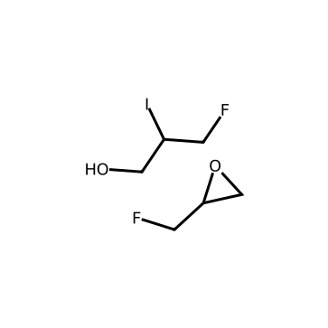 FCC1CO1.OCC(I)CF